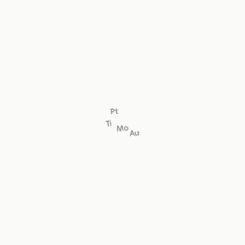 [Au].[Mo].[Pt].[Ti]